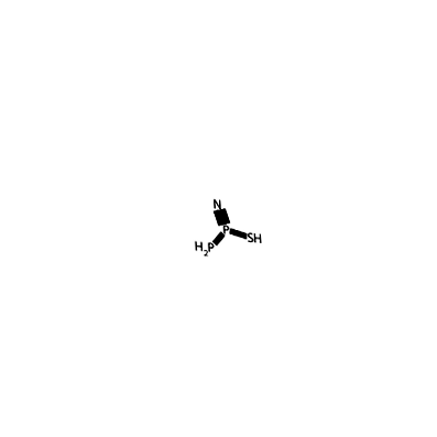 N#P(P)S